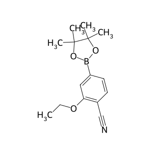 CCOc1cc(B2OC(C)(C)C(C)(C)O2)ccc1C#N